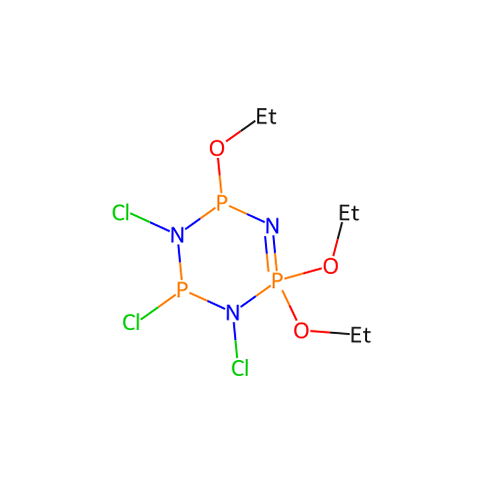 CCOP1N=P(OCC)(OCC)N(Cl)P(Cl)N1Cl